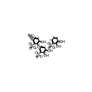 O=S(=O)([O-])c1cccc(O)c1O.O=S(=O)([O-])c1cccc(O)c1O.O=S(=O)([O-])c1cccc(O)c1O.[Na+].[Na+].[Na+]